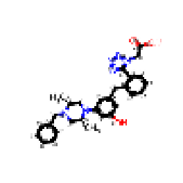 C[C@@H]1CN(c2cc(O)cc(Cc3ccccc3-c3nnnn3CC(=O)O)c2)[C@@H](C)CN1Cc1ccccc1